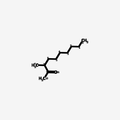 CCCCCCCC(C)C(C)=O